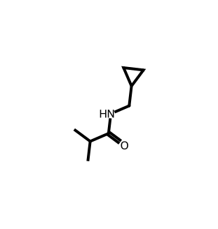 CC(C)C(=O)NCC1CC1